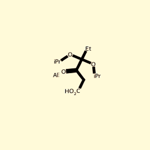 CCC(OC(C)C)(OC(C)C)C(=O)CC(=O)O.[Al]